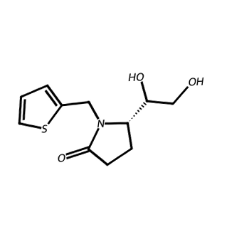 O=C1CC[C@@H](C(O)CO)N1Cc1cccs1